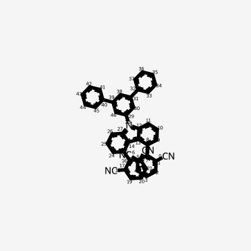 N#Cc1cccc(C#N)c1-c1cccc2c1c1c(-c3c(C#N)cccc3C#N)cccc1n2-c1cc(-c2ccccc2)cc(-c2ccccc2)c1